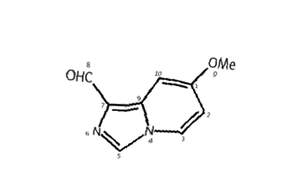 COc1ccn2cnc(C=O)c2c1